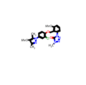 COc1cccc(-n2nnn(C)c2=O)c1COc1ccc(-n2nc(C)c(OC)c2C)cc1Cl